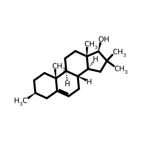 C[C@H]1CC[C@@]2(C)C(=CC[C@H]3[C@@H]4CC(C)(C)[C@H](O)[C@@]4(C)CC[C@@H]32)C1